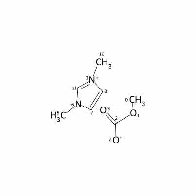 COC(=O)[O-].Cn1cc[n+](C)c1